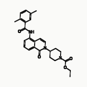 CCOC(=O)N1CCC(n2ccc3c(NC(=O)c4cc(C)ccc4C)cccc3c2=O)CC1